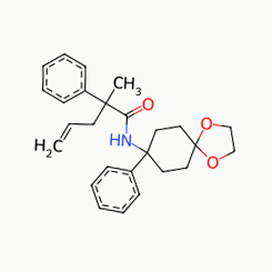 C=CCC(C)(C(=O)NC1(c2ccccc2)CCC2(CC1)OCCO2)c1ccccc1